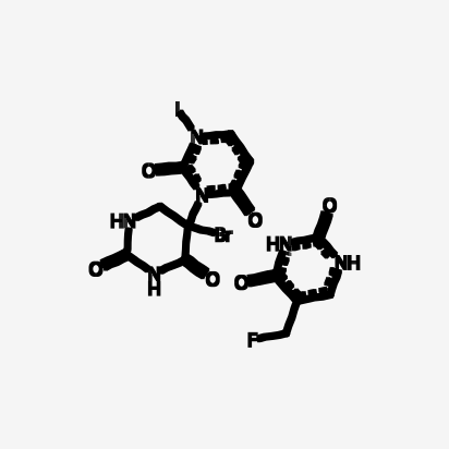 O=C1NCC(Br)(n2c(=O)ccn(I)c2=O)C(=O)N1.O=c1[nH]cc(CF)c(=O)[nH]1